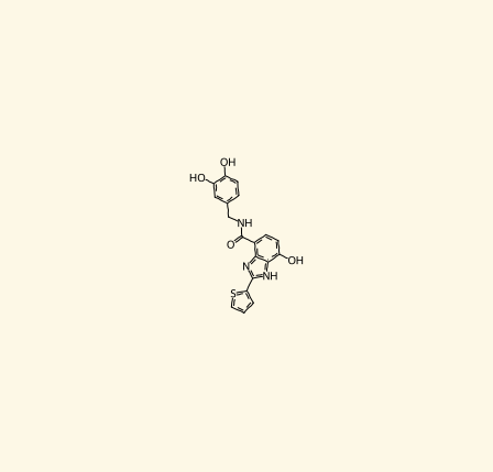 O=C(NCc1ccc(O)c(O)c1)c1ccc(O)c2[nH]c(-c3cccs3)nc12